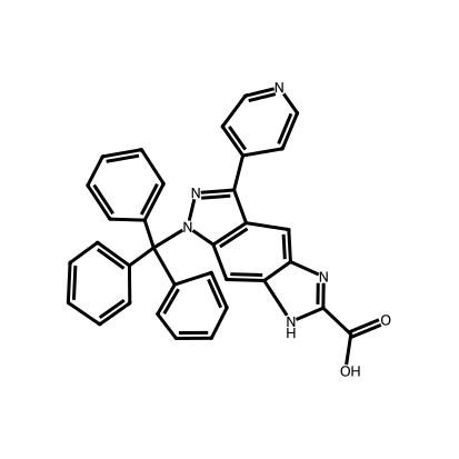 O=C(O)c1nc2cc3c(-c4ccncc4)nn(C(c4ccccc4)(c4ccccc4)c4ccccc4)c3cc2[nH]1